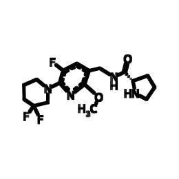 COc1nc(N2CCCC(F)(F)C2)c(F)cc1CNC(=O)[C@@H]1CCCN1